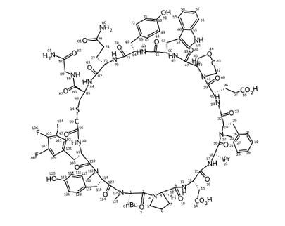 CCCC[C@H]1C(=O)N2CCC[C@@H]2C(=O)N[C@@H](CC(=O)O)C(=O)N[C@@H](C(C)C)C(=O)N(C)[C@@H](Cc2ccccc2)C(=O)N[C@@H](CCC(=O)O)C(=O)N2CCOC[C@@H]2C(=O)N[C@@H](Cc2c[nH]c3ccccc23)C(=O)N[C@@H](Cc2ccc(O)cc2)C(=O)N[C@@H](CCC(N)=O)C(=O)N[C@H](C(=O)NCC(N)=O)CSCC(=O)N[C@@H](Cc2cc(F)c(F)c(F)c2)C(=O)N(C)[C@@H](Cc2ccc(O)cc2)C(=O)N1C